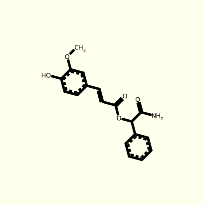 COc1cc(C=CC(=O)OC(C(N)=O)c2ccccc2)ccc1O